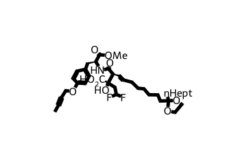 CC#CCOc1ccc(C[C@H](NC(=O)[C@@H](C=CCCCCCCC2(CCCCCCC)OCCO2)[C@@](O)(CC(F)F)C(=O)O)C(=O)OC)cc1